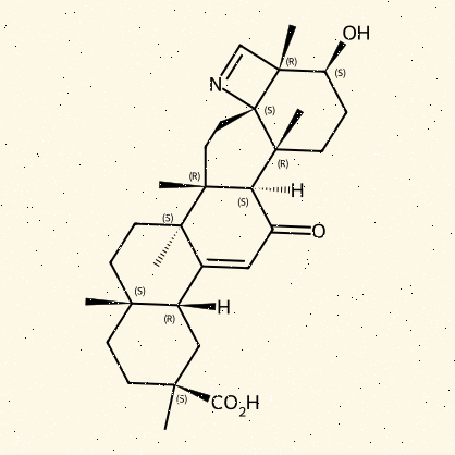 C[C@]1(C(=O)O)CC[C@]2(C)CC[C@]3(C)C(=CC(=O)[C@@H]4[C@@]5(C)CC[C@H](O)[C@@]6(C)C=N[C@]65CC[C@]43C)[C@@H]2C1